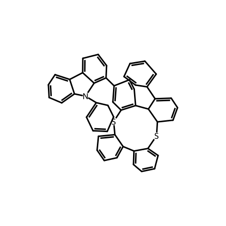 C1=CCCC(n2c3ccccc3c3cccc(-c4ccc5c(c4)Sc4ccccc4-c4ccccc4SC4C=CC=C(c6ccccc6)C54)c32)=C1